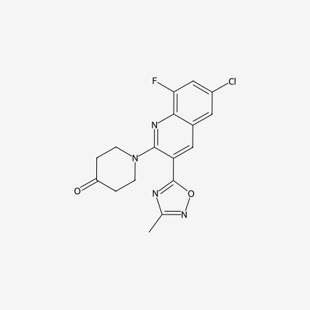 Cc1noc(-c2cc3cc(Cl)cc(F)c3nc2N2CCC(=O)CC2)n1